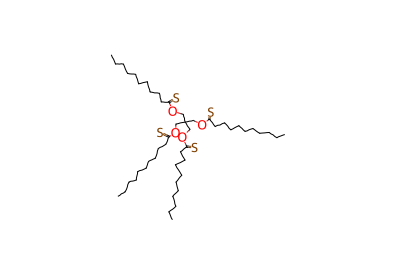 CCCCCCCCCCC(=S)OCC(COC(=S)CCCCCCCCCC)(COC(=S)CCCCCCCCCC)COC(=S)CCCCCCCCCC